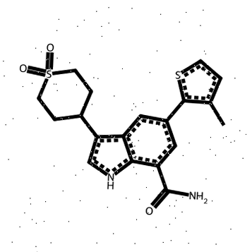 Cc1ccsc1-c1cc(C(N)=O)c2[nH]cc(C3CCS(=O)(=O)CC3)c2c1